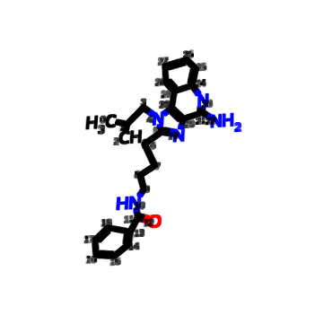 CC(C)Cn1c(CCCCNC(=O)c2ccccc2)nc2c(N)nc3ccccc3c21